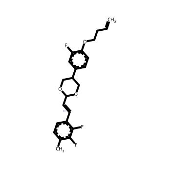 C=CCCOc1ccc(C2COC(/C=C/c3ccc(C)c(F)c3F)OC2)cc1F